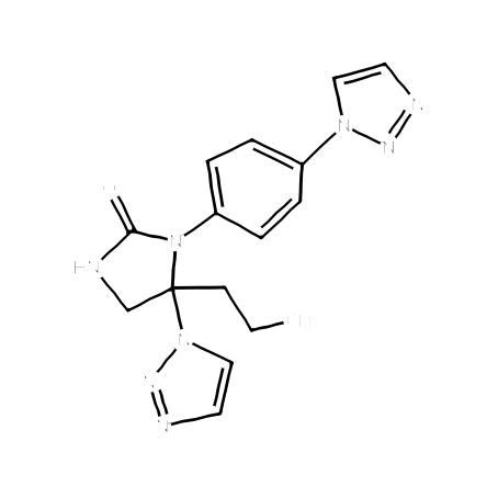 CCCC1(n2ccnn2)CNC(=O)N1c1ccc(-n2ccnn2)cc1